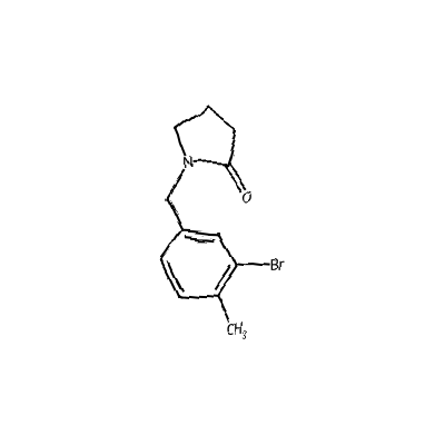 Cc1ccc(CN2CCCC2=O)cc1Br